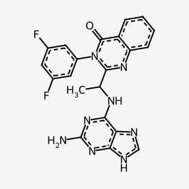 CC(Nc1nc(N)nc2[nH]cnc12)c1nc2ccccc2c(=O)n1-c1cc(F)cc(F)c1